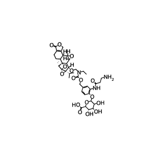 CCN(CO[C@H]1C2[C@H]3O[C@H]3[C@H]3C4=C(CC[C@]3(C)[C@]23C[C@]2(O3)O[C@]12C(C)C)C(=O)OC4)C(=O)OCc1ccc(O[C@@H]2OC(C(=O)O)[C@@H](O)C(O)C2O)c(NC(=O)CCN)c1